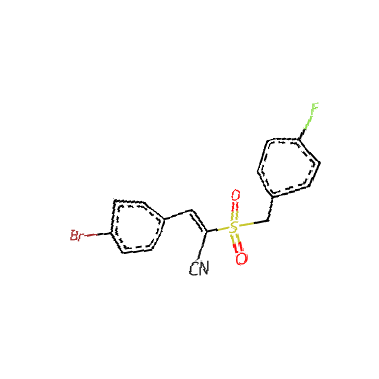 N#C/C(=C\c1ccc(Br)cc1)S(=O)(=O)Cc1ccc(F)cc1